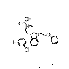 O=C(O)N1CCC2c3c(-c4ccc(Cl)cc4Cl)cccc3N(CCOc3ccccc3)C2CC1